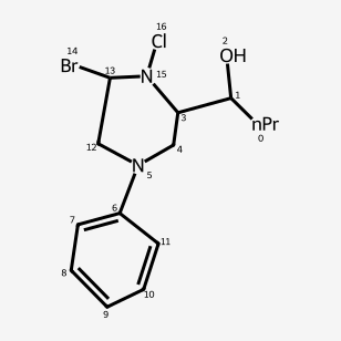 CCCC(O)C1CN(c2ccccc2)CC(Br)N1Cl